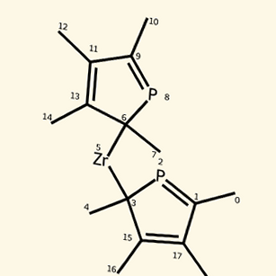 CC1=P[C](C)([Zr][C]2(C)P=C(C)C(C)=C2C)C(C)=C1C